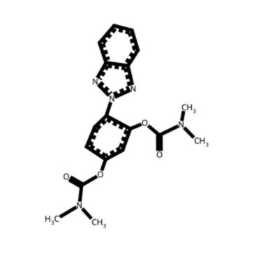 CN(C)C(=O)Oc1ccc(-n2nc3ccccc3n2)c(OC(=O)N(C)C)c1